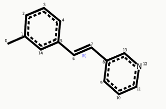 Cc1cccc(/C=C/c2cccnc2)c1